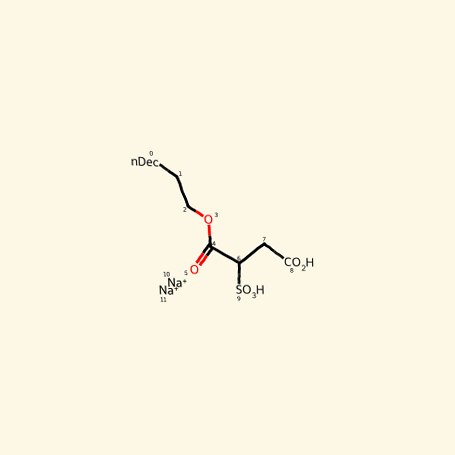 CCCCCCCCCCCCOC(=O)C(CC(=O)O)S(=O)(=O)O.[Na+].[Na+]